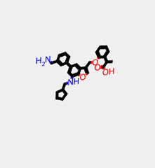 CC(C(=O)O)c1ccccc1OCc1coc2c(NCC3CCCC3)cc(-c3cccc(CN)c3)cc12